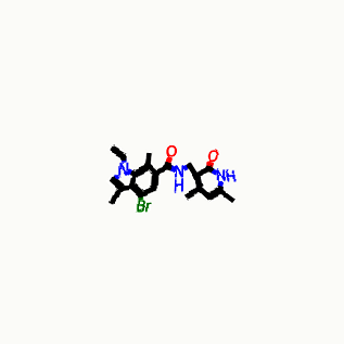 CCn1cc(C)c2c(Br)cc(C(=O)NCc3c(C)cc(C)[nH]c3=O)c(C)c21